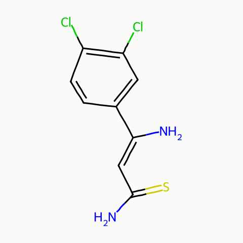 NC(=S)C=C(N)c1ccc(Cl)c(Cl)c1